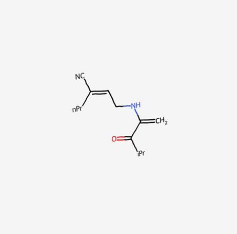 C=C(NCC=C(C#N)CCC)C(=O)C(C)C